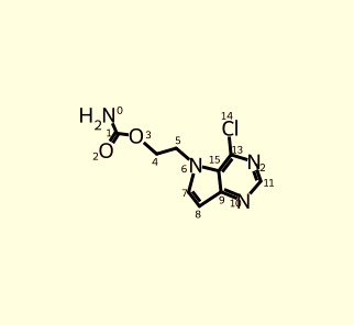 NC(=O)OCCn1ccc2ncnc(Cl)c21